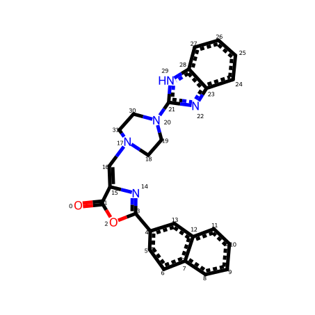 O=C1OC(c2ccc3ccccc3c2)=NC1=CN1CCN(c2nc3ccccc3[nH]2)CC1